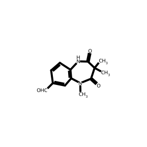 CN1C(=O)C(C)(C)C(=O)Nc2ccc(C=O)cc21